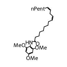 CCCCC/C=C\C/C=C\CCCCCCCC(=O)Nc1c(OC)cc(OC)cc1OC